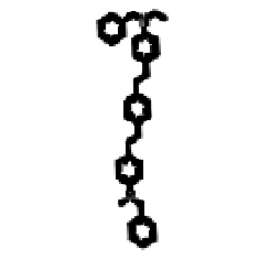 CCN(Cc1ccccc1)c1ccc(CCc2ccc(CCc3ccc(N(C)Cc4ccccc4)cc3)cc2)cc1